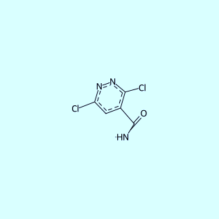 [NH]C(=O)c1cc(Cl)nnc1Cl